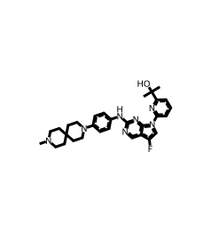 CN1CCC2(CC1)CCN(c1ccc(Nc3ncc4c(F)cn(-c5cccc(C(C)(C)O)n5)c4n3)cc1)CC2